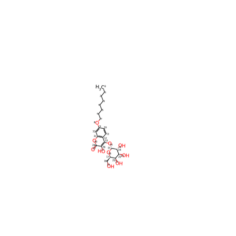 CCCCCCCCOc1ccc2c(O[C@H]3O[C@H](CO)[C@H](O)[C@H](O)[C@H]3O)c(O)c(=O)oc2c1